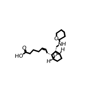 O=C(O)CCC/C=C\C[C@@H]1[C@H](CNC2CCCCO2)[C@@H]2CC[C@H]1O2